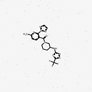 Cc1ccc(C(=O)N2CCCC(Nc3nnc(C(F)(F)F)s3)C2)c(-n2nccn2)n1